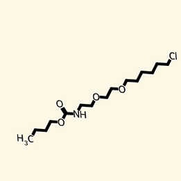 CCCCOC(=O)NCCOCCOCCCCCCCl